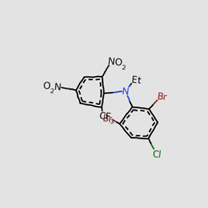 CCN(c1c(Br)cc(Cl)cc1Br)c1c([N+](=O)[O-])cc([N+](=O)[O-])cc1C(F)(F)F